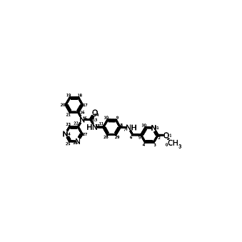 COc1ccc(CNc2ccc(NC(=O)N(c3ccccc3)c3cncnc3)cc2)cn1